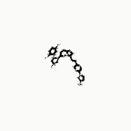 O[C@@H]1CCN(c2cnc(/C=C/c3cnc4ccc(N5C[C@@H](F)C[C@@H]5c5cc(F)ccc5F)nn34)cn2)C1